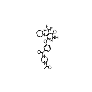 CC(=O)N1CCN(C(=O)c2cccc(Oc3n[nH]c(=O)c(C(F)(F)F)c3N3CCCCC3)c2)CC1